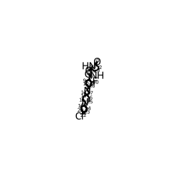 O=C1CCC(NC(=O)c2ccc(N3CC4(CCN(c5ccc(Cl)cc5)CC4)C3)cc2F)C(=O)N1